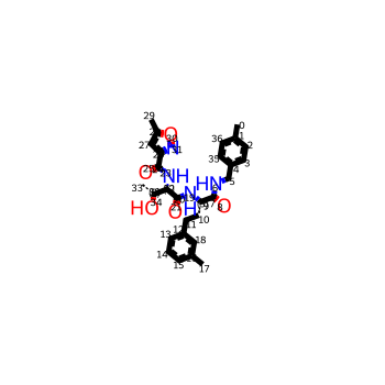 Cc1ccc(CNC(=O)[C@H](CCc2cccc(C)c2)NC(=O)[C@@H](NC(=O)c2cc(C)on2)[C@@H](C)O)cc1